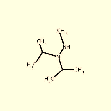 CNN(C(C)C)C(C)C